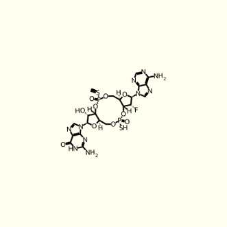 C#S[P@]1(=O)OC[C@H]2O[C@@H](n3cnc4c(N)ncnc43)[C@H](F)[C@@H]2O[P@](=O)(S)OC[C@H]2O[C@@H](n3cnc4c(=O)[nH]c(N)nc43)[C@H](O)[C@@H]2O1